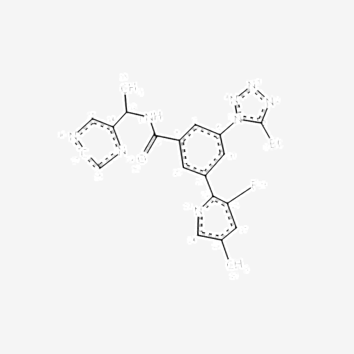 CCc1nnnn1-c1cc(C(=O)NC(C)c2cnccn2)cc(-c2ncc(C)cc2F)c1